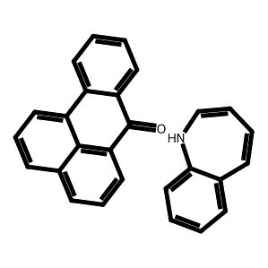 C1=CNc2ccccc2C=C1.O=C1c2ccccc2-c2cccc3cccc1c23